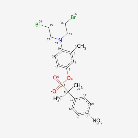 Cc1cc(OS(=O)(=O)C(C)(C)c2ccc([N+](=O)[O-])cc2)ccc1N(CCBr)CCBr